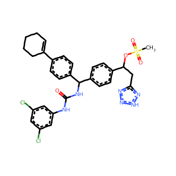 CS(=O)(=O)OC(Cc1nn[nH]n1)c1ccc(C(NC(=O)Nc2cc(Cl)cc(Cl)c2)c2ccc(C3=CCCCC3)cc2)cc1